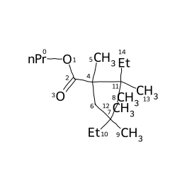 CCCOC(=O)C(C)(CC(C)(C)CC)C(C)(C)CC